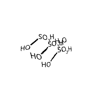 O.O=S(=O)(O)O.O=S(=O)(O)O.O=S(=O)(O)O